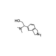 CN(C)C(CO)c1ccc2c(c1)CN(I)C2